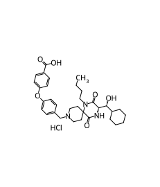 CCCCN1C(=O)[C@@H]([C@@H](O)C2CCCCC2)NC(=O)C12CCN(Cc1ccc(Oc3ccc(C(=O)O)cc3)cc1)CC2.Cl